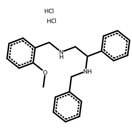 COc1ccccc1CNCC(NCc1ccccc1)c1ccccc1.Cl.Cl